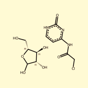 O=C(CCl)Nc1cc[nH]c(=O)n1.OC[C@H]1OC(O)[C@@H](O)[C@@H]1O